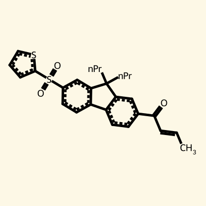 C/C=C/C(=O)c1ccc2c(c1)C(CCC)(CCC)c1cc(S(=O)(=O)c3cccs3)ccc1-2